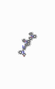 C(=C\N(c1ccccc1)c1ccccc1)/c1ccc(-c2cc3ccc4cc(-c5ccc(N(c6ccccc6)c6ccccc6)cc5)cc5c4c3c(c2)n5-c2ccccc2)nc1